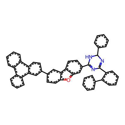 c1ccc(-c2ccccc2C2=NC(c3ccccc3)NC(c3ccc4c(c3)oc3ccc(-c5ccc6c7ccccc7c7ccccc7c6c5)cc34)=N2)cc1